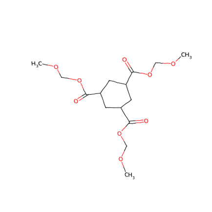 COCOC(=O)C1CC(C(=O)OCOC)CC(C(=O)OCOC)C1